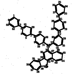 c1ccc(-c2ccc(-c3ccc(N(c4cccc(-c5ccc(-c6ccccc6)cc5)c4)c4cc5c6ccccc6sc5c5ccccc45)cc3)cc2)cc1